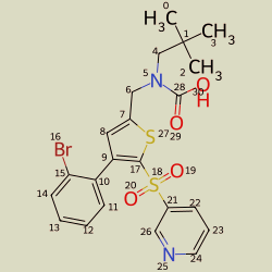 CC(C)(C)CN(Cc1cc(-c2ccccc2Br)c(S(=O)(=O)c2cccnc2)s1)C(=O)O